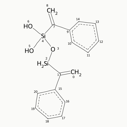 C=C([SiH2]O[Si](O)(O)C(=C)c1ccccc1)c1ccccc1